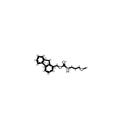 COCCCNC(=O)OCc1cccc2c1Cc1ccccc1-2